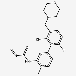 C=NC(=O)Nc1cc(-c2c(Cl)ccc(CN3CCOCC3)c2Cl)ccc1C